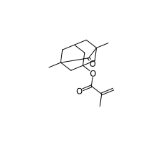 C=C(C)C(=O)OC12CC3CC(C)(C1)C(=O)C(C)(C3)C2